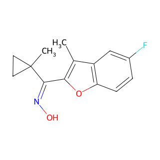 Cc1c(/C(=N\O)C2(C)CC2)oc2ccc(F)cc12